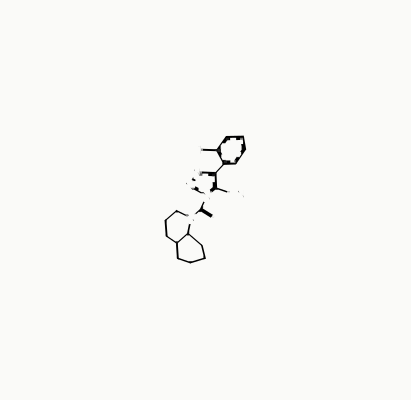 N#Cc1c(-c2ccccc2Cl)nnn1C(=O)N1CCCC2CCCCC21